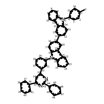 Cc1ccc(-n2c3ccccc3c3cc(-c4ccc5c(c4)c4ccccc4n5-c4cccc(-c5cc(-c6ccccc6)nc(-c6ccccc6)n5)c4)ccc32)cc1